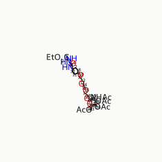 CCOC(=O)NNC(=O)Nc1ccc(OCCOCCOCCO[C@@H]2OC(COC(C)=O)[C@H](OC(C)=O)C(OC(C)=O)C2NC(C)=O)cc1